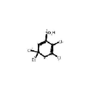 CCC1(Cl)C=C(S(=O)(=O)O)C(Cl)=C(Cl)C1